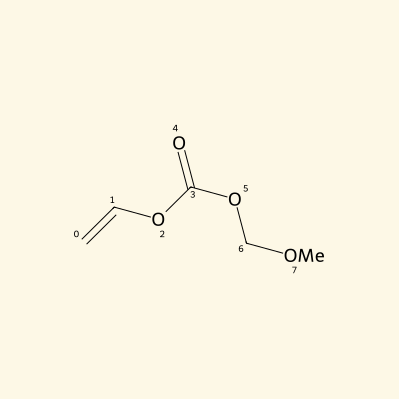 C=COC(=O)OCOC